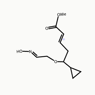 COC(=O)/C=C/CC(OCC=NO)C1CC1